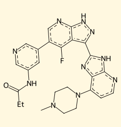 CCC(=O)Nc1cncc(-c2cnc3[nH]nc(-c4nc5c(N6CCN(C)CC6)ccnc5[nH]4)c3c2F)c1